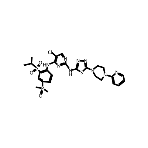 CC(C)S(=O)(=O)c1cc(P(C)(C)=O)ccc1Nc1nc(Nc2nnc(N3CCN(c4ccccn4)CC3)s2)ncc1Cl